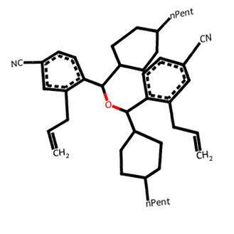 C=CCc1cc(C#N)ccc1C(OC(c1ccc(C#N)cc1CC=C)C1CCC(CCCCC)CC1)C1CCC(CCCCC)CC1